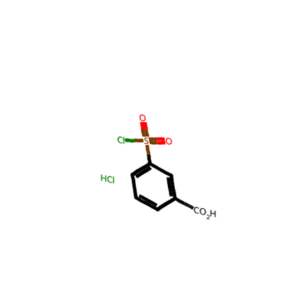 Cl.O=C(O)c1cccc(S(=O)(=O)Cl)c1